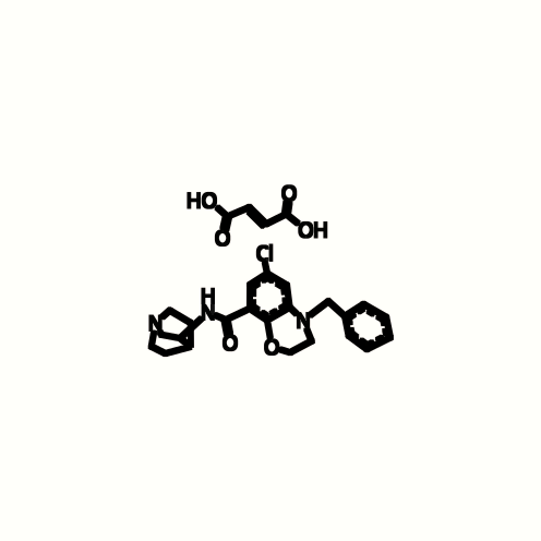 O=C(NC1CN2CCC1CC2)c1cc(Cl)cc2c1OCCN2Cc1ccccc1.O=C(O)/C=C/C(=O)O